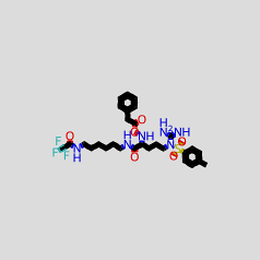 Cc1ccc(S(=O)(=O)N(CCCC(NOC(=O)Cc2ccccc2)C(=O)NCCCCCCNC(=O)C(F)(F)F)C(=N)N)cc1